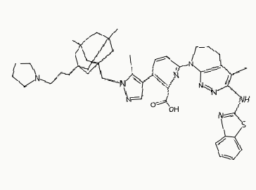 Cc1c(Nc2nc3ccccc3s2)nnc2c1CCCN2c1ccc(-c2cnn(CC34CC5(C)CC(C)(CC(CCCN6CCCC6)(C5)C3)C4)c2C)c(C(=O)O)n1